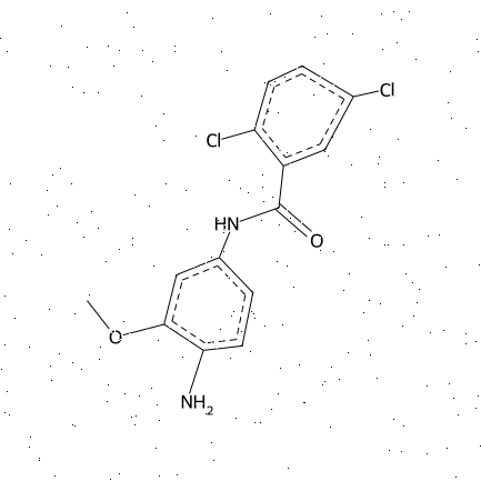 COc1cc(NC(=O)c2cc(Cl)ccc2Cl)ccc1N